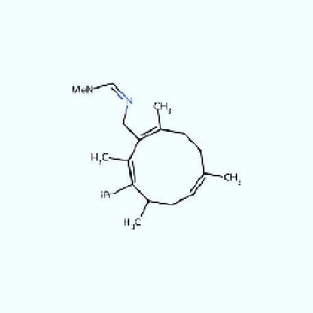 CN/C=N\CC1=C(\C)CC/C(C)=C\CC(C)/C(C(C)C)=C\1C